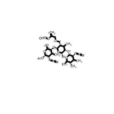 C=C(COC[C@H]1C(C)[C@H](O[C@H]2OC(CC)[C@@H](C)C(C)[C@@H]2N=[N+]=[N-])[C@H](C(C)=O)O[C@H]1O[C@@H]1C(CC)O[C@@H](OC(C)=O)[C@@H](N=[N+]=[N-])C1C)OC=O